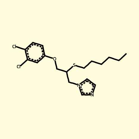 CCCCCCSC(COc1ccc(Cl)c(Cl)c1)Cn1ccnc1